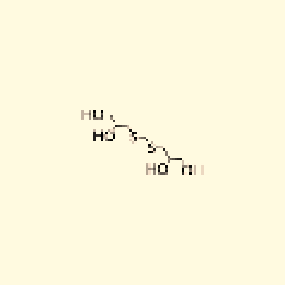 OCC(O)CSCSCC(O)CO